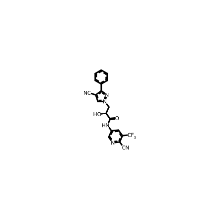 N#Cc1cn(C[C@H](O)C(=O)Nc2cnc(C#N)c(C(F)(F)F)c2)nc1-c1ccccc1